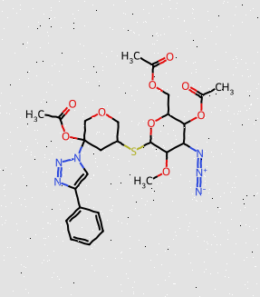 COC1C(SC2COCC(OC(C)=O)(n3cc(-c4ccccc4)nn3)C2)OC(COC(C)=O)C(OC(C)=O)C1N=[N+]=[N-]